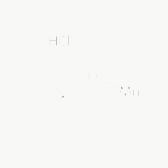 CC(C)(C)[O][Mn].Cl